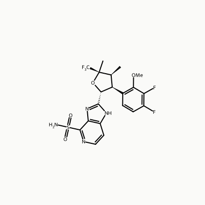 COc1c([C@H]2[C@H](c3nc4c(S(N)(=O)=O)nccc4[nH]3)O[C@@](C)(C(F)(F)F)[C@H]2C)ccc(F)c1F